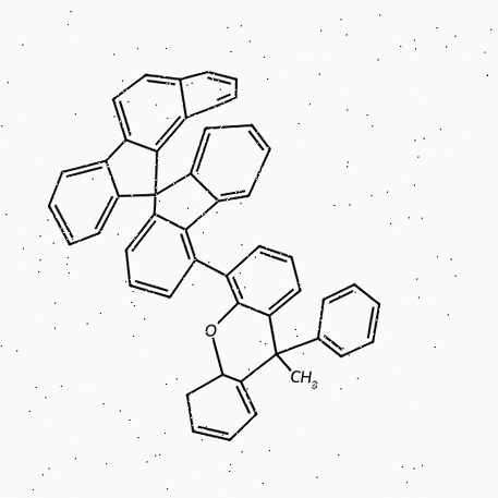 CC1(c2ccccc2)C2=CC=CCC2Oc2c(-c3cccc4c3-c3ccccc3C43c4ccccc4-c4ccc5ccccc5c43)cccc21